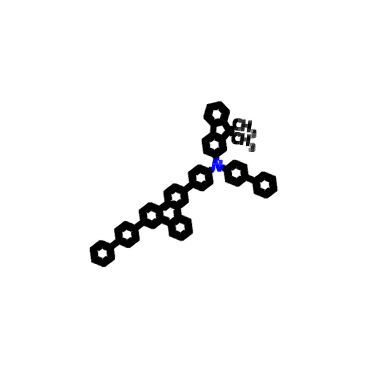 CC1(C)c2ccccc2-c2ccc(N(c3ccc(-c4ccccc4)cc3)c3ccc(-c4ccc5c6ccc(-c7ccc(-c8ccccc8)cc7)cc6c6ccccc6c5c4)cc3)cc21